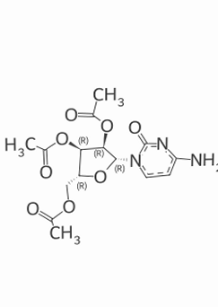 CC(=O)OC[C@H]1O[C@@H](n2ccc(N)nc2=O)[C@H](OC(C)=O)[C@@H]1OC(C)=O